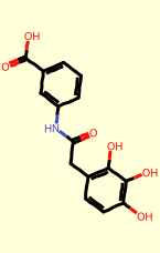 O=C(Cc1ccc(O)c(O)c1O)Nc1cccc(C(=O)O)c1